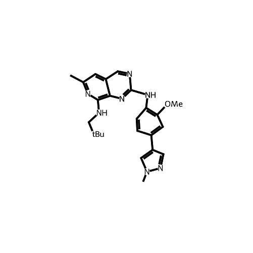 COc1cc(-c2cnn(C)c2)ccc1Nc1ncc2cc(C)nc(NCC(C)(C)C)c2n1